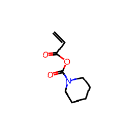 C=CC(=O)OC(=O)N1CCCCC1